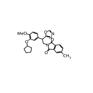 COc1ccc(C(CN2C(=O)c3ccc(C)cc3C2=O)c2nnco2)cc1OC1CCCC1